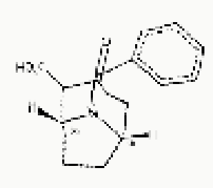 O=C(O)C1C(=O)C[C@@H]2CC[C@H]1N2Cc1ccccc1